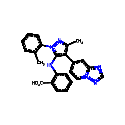 Cc1ccccc1-n1nc(C)c(-c2ccn3ncnc3c2)c1Nc1ccccc1C(=O)O